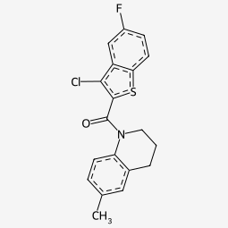 Cc1ccc2c(c1)CCCN2C(=O)c1sc2ccc(F)cc2c1Cl